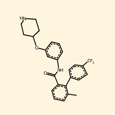 Cc1cccc(C(=O)Nc2cccc(OC3CCNCC3)c2)c1-c1ccc(C(F)(F)F)cc1